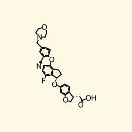 N#Cc1cc(CN2CCOCC2)ccc1Oc1ccc(F)c2c1CC[C@H]2Oc1ccc2c(c1)OC[C@H]2CC(=O)O